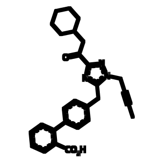 CC#CCn1nc(C(=O)CC2CCCCC2)nc1Cc1ccc(-c2ccccc2C(=O)O)cc1